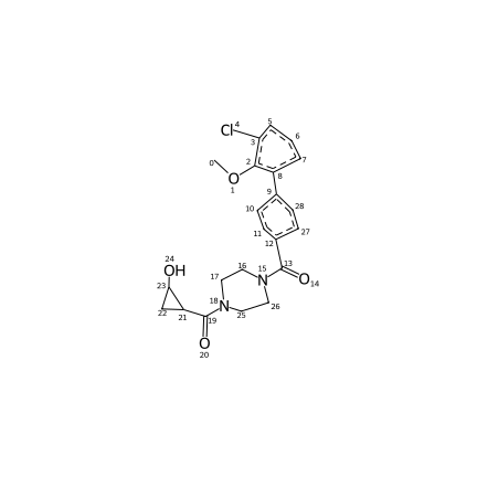 COc1c(Cl)cccc1-c1ccc(C(=O)N2CCN(C(=O)C3CC3O)CC2)cc1